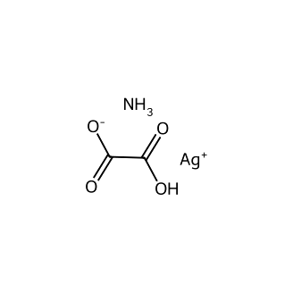 N.O=C([O-])C(=O)O.[Ag+]